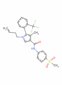 C=CCCn1cc(C(=O)Nc2ccc(S(C)(=O)=O)cc2)c(C)c1-c1ccccc1C(F)(F)F